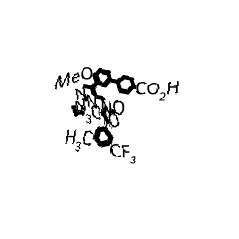 COc1ccc(C2CCC(C(=O)O)CC2)cc1-c1cnc(N2CCC2)nc1CN1C(=O)O[C@H](c2cc(C)cc(C(F)(F)F)c2)[C@@H]1C